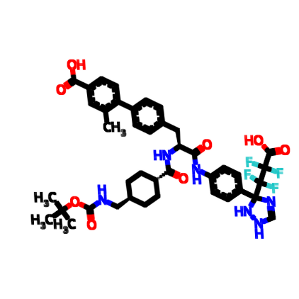 Cc1cc(C(=O)O)ccc1-c1ccc(C[C@H](NC(=O)[C@H]2CC[C@H](CNC(=O)OC(C)(C)C)CC2)C(=O)Nc2ccc(C3(C(F)(F)C(F)(F)C(=O)O)N=CNN3)cc2)cc1